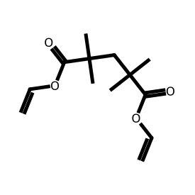 C=COC(=O)C(C)(C)CC(C)(C)C(=O)OC=C